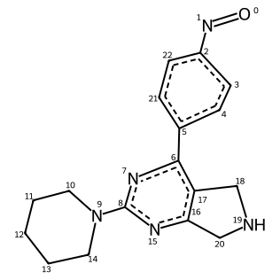 O=Nc1ccc(-c2nc(N3CCCCC3)nc3c2CNC3)cc1